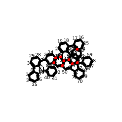 c1ccc(-c2ccccc2-c2c(-c3ccccc3)cccc2N(c2ccc(-c3cccc4c5ccccc5n(-c5ccccc5)c34)cc2)c2ccc3c(c2)C(c2ccccc2)(c2ccccc2)c2ccccc2-3)cc1